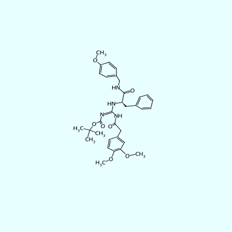 COc1ccc(CNC(=O)[C@@H](Cc2ccccc2)N/C(=N/C(=O)OC(C)(C)C)NC(=O)Cc2ccc(OC)c(OC)c2)cc1